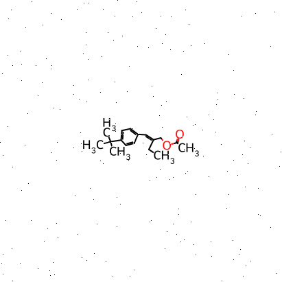 CC/C(=C\c1ccc(C(C)(C)C)cc1)COC(C)=O